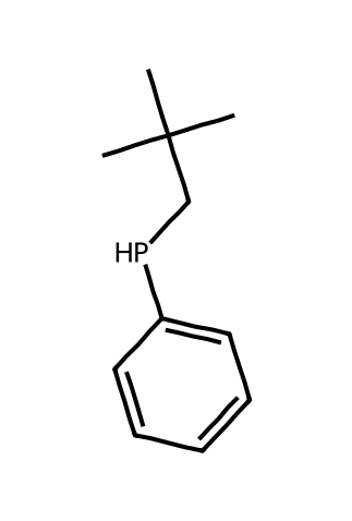 CC(C)(C)CPc1ccccc1